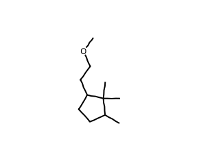 COCCC1CCC(C)C1(C)C